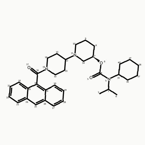 CC(C)N(C(=O)O[C@@H]1CCCN(C2CCN(C(=O)c3c4ccccc4cc4ccccc34)CC2)C1)C1CCCCC1